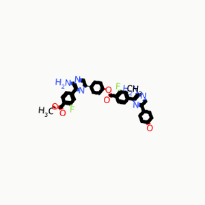 COC(=O)c1ccc(-c2nc([C@H]3CC[C@H](OC(=O)c4ccc(-c5nc(C6CCC(=O)CC6)cnc5N)c(C)c4F)CC3)cnc2N)cc1F